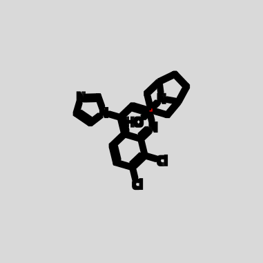 OC1CC2CCC(C1)N2c1cc(-n2ccnc2)c2ccc(Cl)c(Cl)c2n1